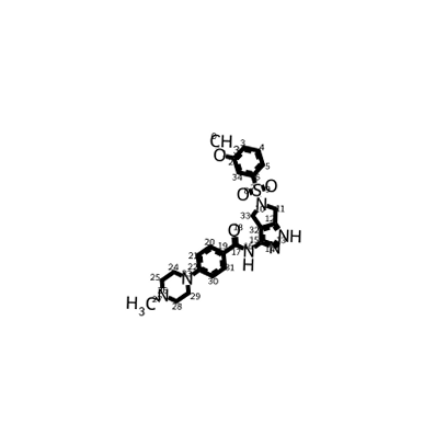 COc1cccc(S(=O)(=O)N2Cc3[nH]nc(NC(=O)c4ccc(N5CCN(C)CC5)cc4)c3C2)c1